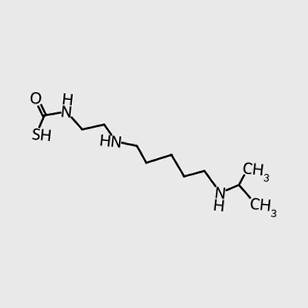 CC(C)NCCCCCNCCNC(=O)S